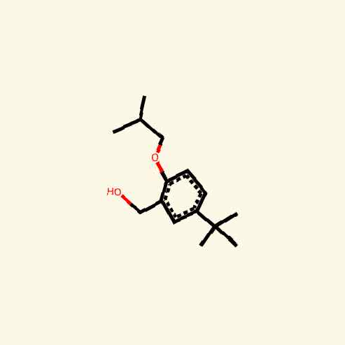 CC(C)COc1ccc(C(C)(C)C)cc1CO